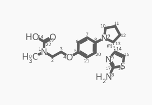 CN(CCOc1ccc(N2CCC[C@@H]2c2csc(N)n2)cc1)C(=O)O